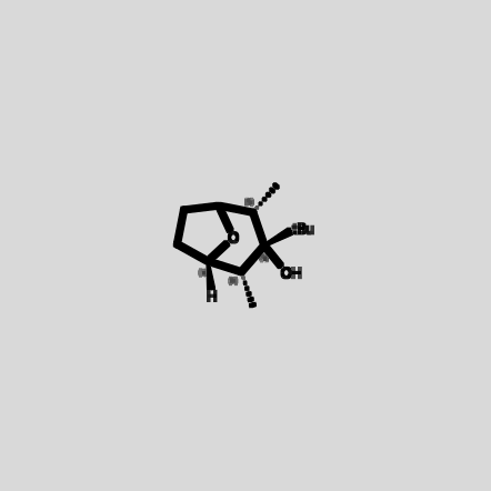 C[C@@H]1[C@@H]2CCC(O2)[C@H](C)[C@@]1(O)C(C)(C)C